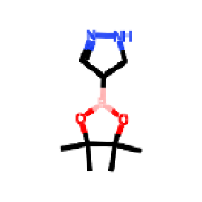 CC1(C)OB(C2C=NNC2)OC1(C)C